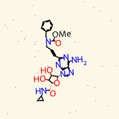 COC(=O)N(CC#Cc1nc(N)c2ncn([C@@H]3O[C@H](C(=O)NC4CC4)C(O)C3O)c2n1)Cc1ccccc1